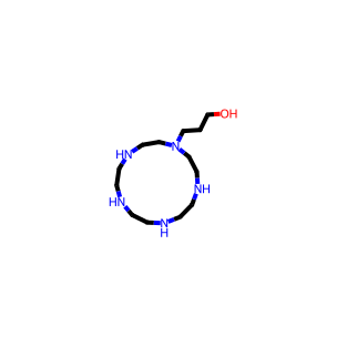 OCCCN1CCNCCNCCNCCNCC1